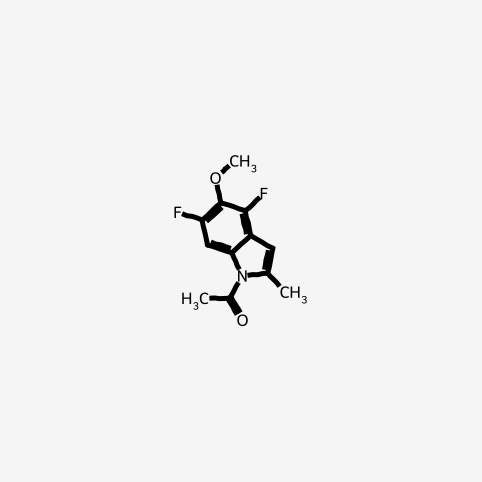 COc1c(F)cc2c(cc(C)n2C(C)=O)c1F